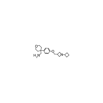 NCC1(c2ccc(OCC3CN(C4CCC4)C3)cc2)CCOCC1